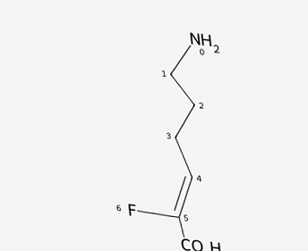 NCCC/C=C(\F)C(=O)O